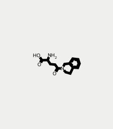 NC(CCC(=O)N1CCc2ccccc2C1)C(=O)O